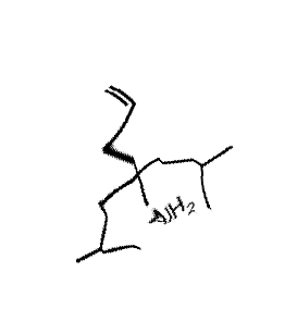 C=CC[C]([AlH2])(CC(C)C)CC(C)C